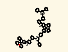 c1ccc(-c2cc(-c3ccc(-c4ccc(C5(c6ccccc6)c6ccccc6-c6cc7c(cc65)oc5cccc(-c6cccc(-c8nc(-c9ccccc9)cc(-c9ccccc9)n8)c6)c57)cc4)cc3)nc(-c3cccc(-c4ccc5oc6cc7c(cc6c5c4)-c4ccccc4C7(c4ccccc4)c4ccccc4)c3)n2)cc1